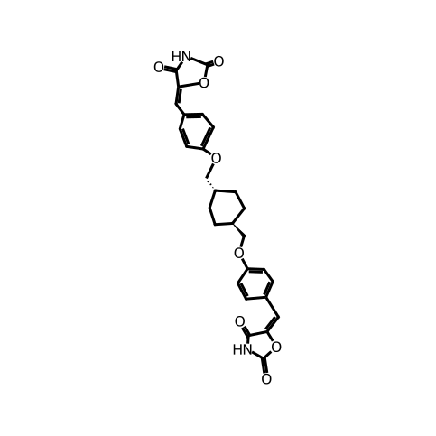 O=C1NC(=O)C(=Cc2ccc(OC[C@H]3CC[C@H](COc4ccc(C=C5OC(=O)NC5=O)cc4)CC3)cc2)O1